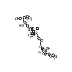 CC(C)[C@H](C(=O)N1C[C@H](O)C[C@H]1C(=O)NCc1ccc2c(c1)OCc1ncsc1-2)c1cc(OCCCCC(=O)N2CCN(CC[C@H](CSc3ccccc3)Nc3ccc(S(=O)(=O)NC(=O)c4ccc(N5CCN(CC6=C(c7ccc(Cl)cc7)CCC(C)(C)C6)C[C@H]5CO)cc4)cc3S(=O)(=O)C(F)(F)F)CC2)no1